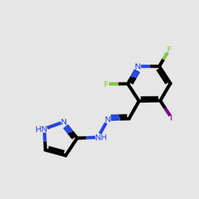 Fc1cc(I)c(C=NNc2cc[nH]n2)c(F)n1